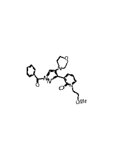 COCCn1cccc(-c2nn(C(=O)c3ccccc3)cc2N2CCOCC2)c1=O